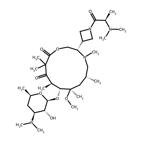 CO[C@]1(C)C[C@@H](C)CN(C)[C@@H](C2CN(C(=O)[C@@H](C)N(C)C)C2)COC(=O)C(C)(C)C(=O)[C@H](C)[C@H]1O[C@@H]1O[C@H](C)C[C@H](N(C)C)[C@H]1O